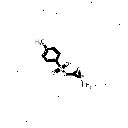 Cc1ccc(S(=O)(=O)OC2O[C@@H]2C)cc1